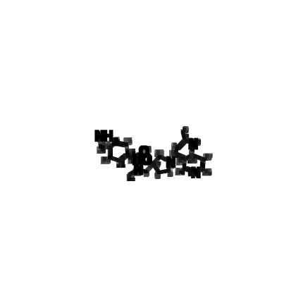 Cc1cc(N2CCC(O)(CN(C)C(=O)c3ccc(CN)cc3)C2)c2cnccc2n1